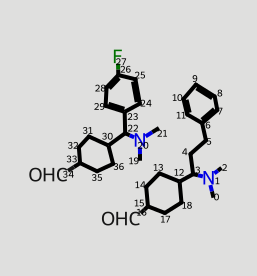 CN(C)C(CCc1ccccc1)C1CCC(C=O)CC1.CN(C)C(c1ccc(F)cc1)C1CCC(C=O)CC1